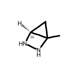 CC12C[C@@H]1NN2